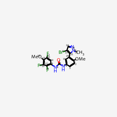 COc1ccc(NC(=O)Nc2cc(F)c(OC)c(F)c2F)cc1-c1c(Br)cnn1C